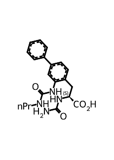 CCCNC(=O)Nc1cc(-c2ccccc2)ccc1C[C@H](NC(N)=O)C(=O)O